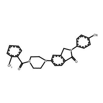 N#Cc1ccc(N2Cc3cc(N4CCN(C(=O)c5ccccc5C(F)(F)F)CC4)ccc3C2=O)cc1